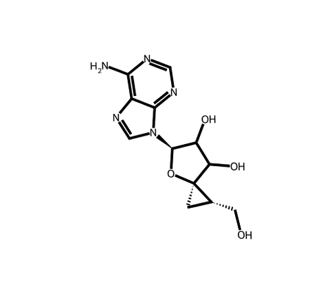 Nc1ncnc2c1ncn2[C@@H]1O[C@@]2(C[C@H]2CO)C(O)C1O